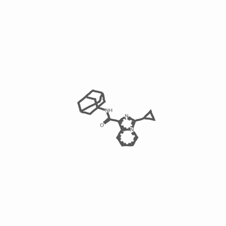 O=C(NC12CC3CC(CC(C3)C1)C2)c1nc(C2CC2)n2ccccc12